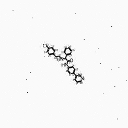 O=C(Nc1ccc(-c2cccnn2)cc1)[C@@H](NCCc1ccc(Cl)cc1)c1ccccc1